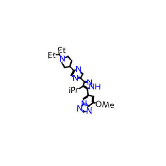 CCC(CC)N1CCC(c2cnc(-c3n[nH]c(-c4cc(OC)c5ncnn5c4)c3C(C)C)cn2)CC1